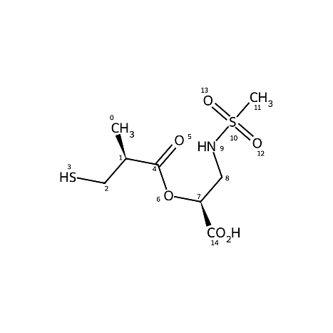 C[C@H](CS)C(=O)O[C@@H](CNS(C)(=O)=O)C(=O)O